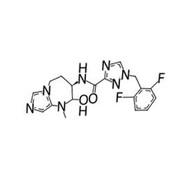 CN1c2cncn2CC[C@@H](NC(=O)c2ncn(Cc3c(F)cccc3F)n2)C1O